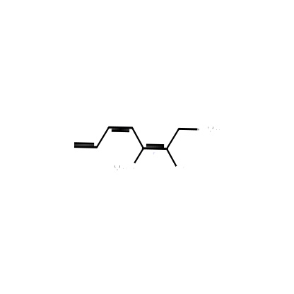 C=C/C=C\C(OC)=C(/COC)C(C)C